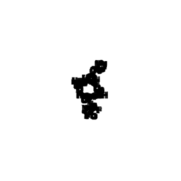 Cn1cnc2c(c(F)cn2[C@@H]2O[C@@H]3COP(=O)(S)O[C@H]4C[C@H](Oc5ccncn5)C[C@@H]4COP(=O)(S)O[C@@H]2C3)c1=O